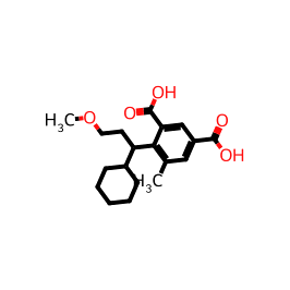 COCCC(c1c(C)cc(C(=O)O)cc1C(=O)O)C1CCCCC1